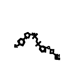 CCc1ccc(N2CC[C@H](NC(C)(C)CCC(C)(C)c3ccnc(O[C@H]4C[C@H](NC(C)(C)C)C4)c3)C2)cc1